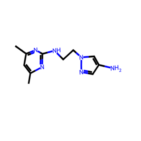 Cc1cc(C)nc(NCCn2cc(N)cn2)n1